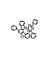 c1ccc(-c2nc(-c3ccccc3)nc(-n3c4ccccc4c4c(-c5ccccc5)cc5oc6ccccc6c5c43)n2)cc1